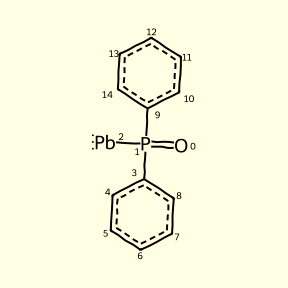 O=[P]([Pb])(c1ccccc1)c1ccccc1